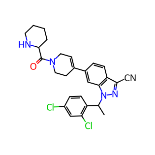 CC(c1ccc(Cl)cc1Cl)n1nc(C#N)c2ccc(C3=CCN(C(=O)C4CCCCN4)CC3)cc21